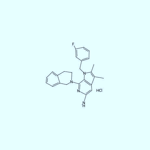 CNc1cc2c(C)c(C)n(Cc3cccc(F)c3)c2c(N2CCc3ccccc3C2)n1.Cl